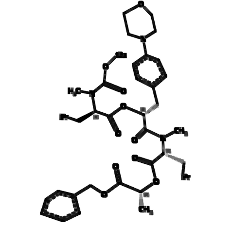 CC(C)C[C@H](C(=O)O[C@H](Cc1ccc(N2CCOCC2)cc1)C(=O)N(C)[C@H](CC(C)C)C(=O)O[C@H](C)C(=O)OCc1ccccc1)N(C)C(=O)OC(C)(C)C